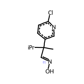 CC(C)C(C)(/C=N/O)c1ccc(Cl)nc1